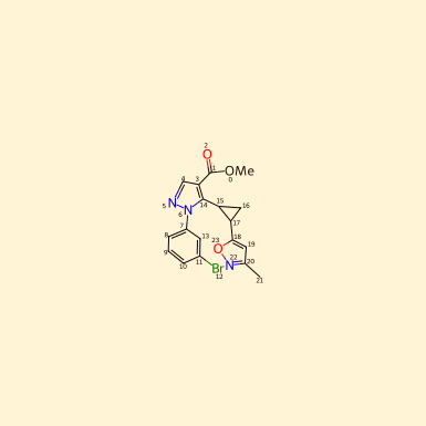 COC(=O)c1cnn(-c2cccc(Br)c2)c1C1CC1c1cc(C)no1